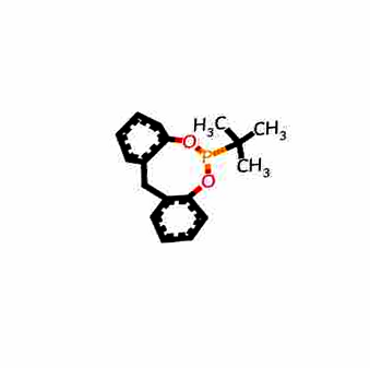 CC(C)(C)P1Oc2ccccc2Cc2ccccc2O1